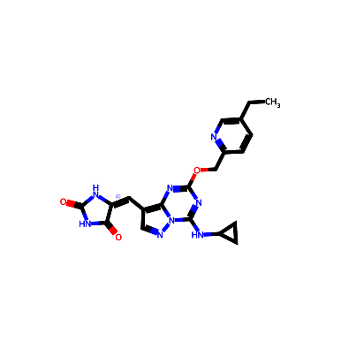 CCc1ccc(COc2nc(NC3CC3)n3ncc(/C=C4/NC(=O)NC4=O)c3n2)nc1